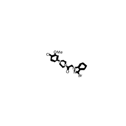 COc1cc(N2CCN(C(=O)Cn3nc(Br)c4ccccc43)CC2)ccc1Cl